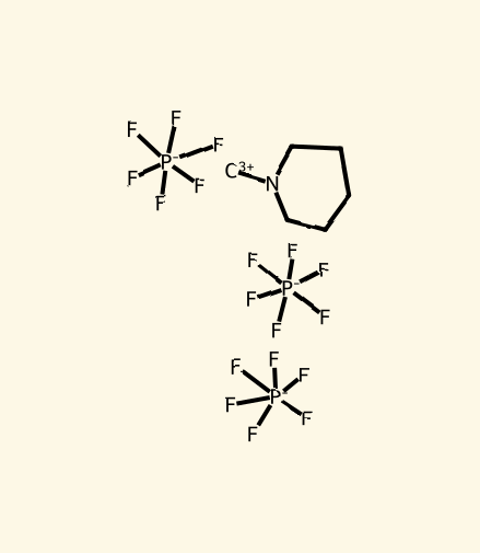 F[P-](F)(F)(F)(F)F.F[P-](F)(F)(F)(F)F.F[P-](F)(F)(F)(F)F.[C+3]N1CCCCC1